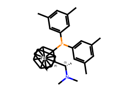 Cc1cc(C)cc(P(c2cc(C)cc(C)c2)[C]23[CH]4[CH]5[CH]6[C@@]2([C@H](C)N(C)C)[Fe]54632789[CH]3[CH]2[CH]7[CH]8[CH]39)c1